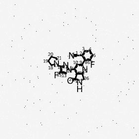 N#Cc1cccc(F)c1-c1cc(-n2cc(F)c(N3CCCC3)n2)c2c(n1)CNC2=O